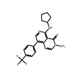 Cn1cnc2c(-c3ccc(C(F)(F)F)cc3)cnc(NC3CCCC3)c2c1=O